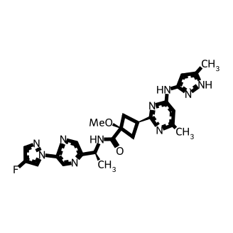 CO[C@]1(C(=O)N[C@@H](C)c2cnc(-n3cc(F)cn3)cn2)C[C@H](c2nc(C)cc(Nc3cc(C)[nH]n3)n2)C1